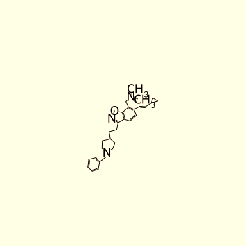 CN(C)Cc1c(C=CC2CC2)ccc2c(CCC3CCN(Cc4ccccc4)CC3)noc12